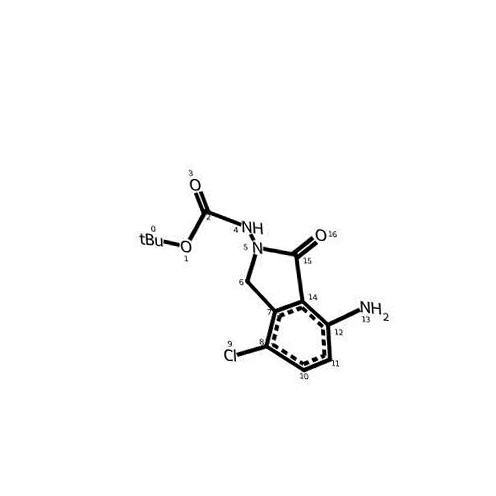 CC(C)(C)OC(=O)NN1Cc2c(Cl)ccc(N)c2C1=O